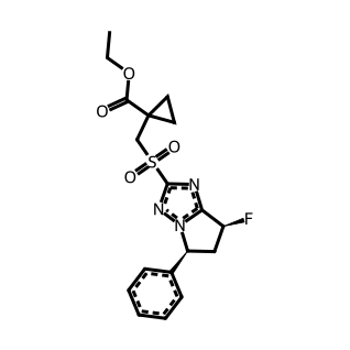 CCOC(=O)C1(CS(=O)(=O)c2nc3n(n2)[C@H](c2ccccc2)C[C@@H]3F)CC1